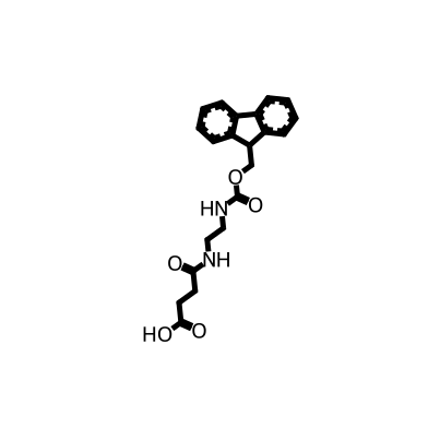 O=C(O)CCC(=O)NCCNC(=O)OCC1c2ccccc2-c2ccccc21